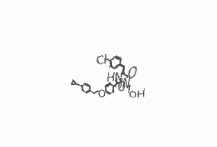 O=C(NCCO)C(=Cc1ccc(Cl)cc1)NC(=O)c1ccc(OCCc2ccc(C3CC3)cc2)cc1